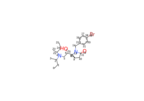 CCC(C)N(C[C@H](O)[C@@H]1CCC(=O)N1Cc1ccc(Br)cc1)C(C)CC